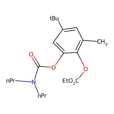 CCCN(CCC)C(=O)Oc1cc(C(C)(C)C)cc(C)c1OC(=O)OCC